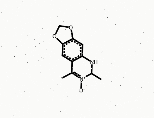 CC1=[N+]([O-])C(C)Nc2cc3c(cc21)OCO3